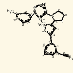 Cc1cc(-c2nnc(N3CCCC3c3cc(-c4cccc(C#N)c4)on3)n2C)ccn1